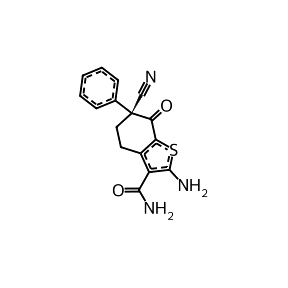 N#C[C@]1(c2ccccc2)CCc2c(sc(N)c2C(N)=O)C1=O